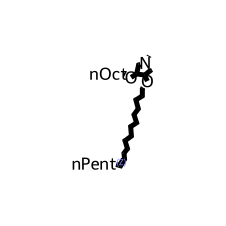 CCCCC/C=C\CCCCCCCCCCCOC1CN(C)CC1OCCCCCCCC